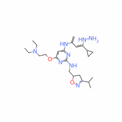 C=C(/C=C(\NN)C1CC1)Nc1cc(OCCN(CC)CC)nc(NCC2CC(C(C)C)=NO2)n1